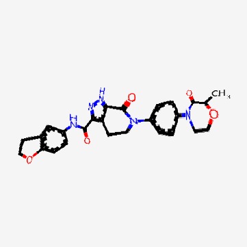 CC1OCCN(c2ccc(N3CCc4c(C(=O)Nc5ccc6c(c5)CCO6)n[nH]c4C3=O)cc2)C1=O